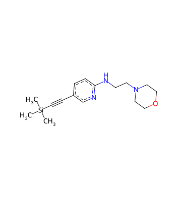 C[Si](C)(C)C#Cc1ccc(NCCN2CCOCC2)nc1